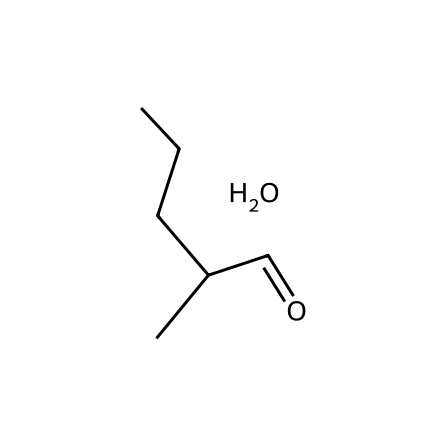 CCCC(C)C=O.O